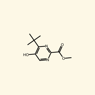 COC(=O)c1ncc(O)c(C(C)(C)C)n1